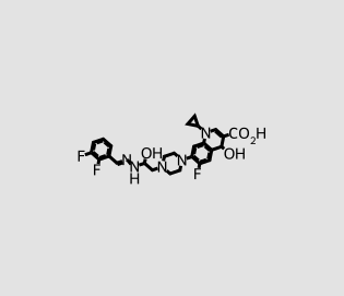 O=C(O)C1=CN(C2CC2)c2cc(N3CCN(CC(O)NN=Cc4cccc(F)c4F)CC3)c(F)cc2C1O